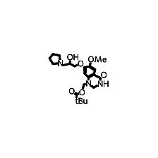 COc1cc2c(cc1OCC(O)CN1CCCC1)N(COC(=O)C(C)(C)C)CNC2=O